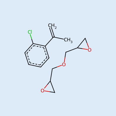 C(OCC1CO1)C1CO1.C=C(C)c1ccccc1Cl